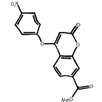 COC(=O)c1ccc2c(Oc3ccc([N+](=O)[O-])cc3)cc(=O)oc2c1